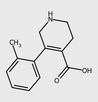 Cc1ccccc1C1=C(C(=O)O)CCNC1